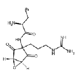 CC(C)C[C@H](N)C(=O)NC1(CCCNC(=N)N)C(=O)[C@H]2O[C@@H]2C1=O